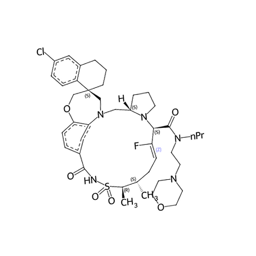 CCCN(CCN1CCOCC1)C(=O)[C@H]1/C(F)=C/C[C@H](C)[C@@H](C)S(=O)(=O)NC(=O)c2ccc3c(c2)N(C[C@@H]2CCCN21)C[C@@]1(CCCc2cc(Cl)ccc21)CO3